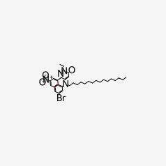 CCCCCCCCCCCCCCCCN(c1cccc(Br)c1)c1cc(=O)n(CC)nc1-c1cccc([N+](=O)[O-])c1